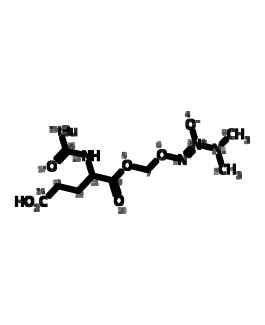 CN(C)/[N+]([O-])=N/OCOC(=O)C(CCC(=O)O)NC(=O)C(C)(C)C